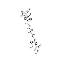 CCCC(CC)(CC)OC(=O)CCCCCCCCC(=O)OC(CC)(CC)CCC